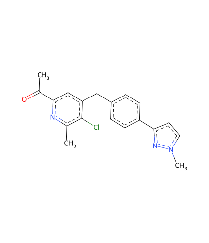 CC(=O)c1cc(Cc2ccc(-c3ccn(C)n3)cc2)c(Cl)c(C)n1